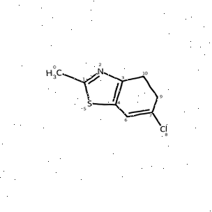 Cc1nc2c(s1)C=C(Cl)CC2